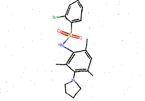 Cc1cc(C)c(N2CCCC2)c(C)c1NS(=O)(=O)c1ccccc1Br